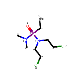 CN(C)P(=O)(CC(C)(C)C)N(CCCl)CCCl